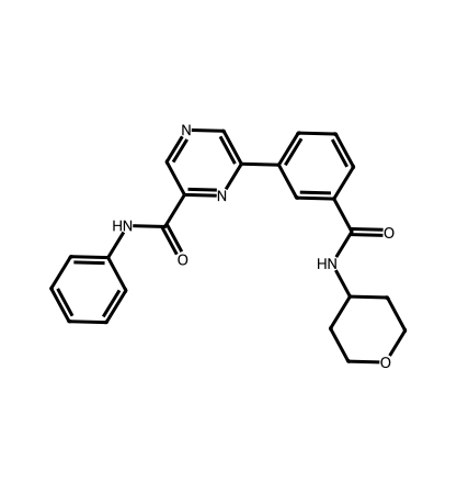 O=C(NC1CCOCC1)c1cccc(-c2cncc(C(=O)Nc3ccccc3)n2)c1